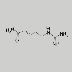 N=C(N)NCC/C=C/C(N)=O